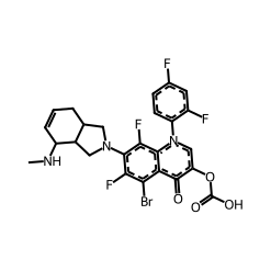 CNC1C=CCC2CN(c3c(F)c(Br)c4c(=O)c(OC(=O)O)cn(-c5ccc(F)cc5F)c4c3F)CC21